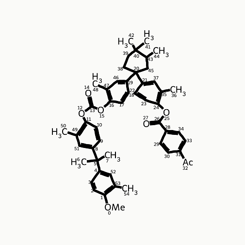 COc1ccc(C(C)(C)c2ccc(OC(=O)Oc3ccc(C4(c5ccc(OC(=O)c6ccc(C(C)=O)cc6)c(C)c5)CCC(C)(C)C(C)C4)cc3C)c(C)c2)cc1C